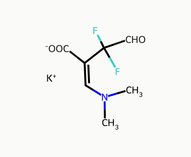 CN(C)C=C(C(=O)[O-])C(F)(F)C=O.[K+]